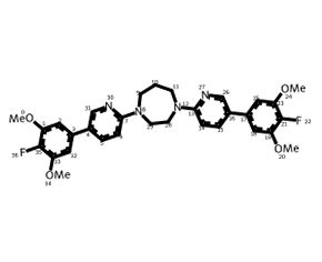 COc1cc(-c2ccc(N3CCCN(c4ccc(-c5cc(OC)c(F)c(OC)c5)cn4)CC3)nc2)cc(OC)c1F